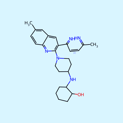 CC(=N)/C=C\C(=N)c1cc2cc(C)ccc2nc1N1CCC(NC2CCCCC2O)CC1